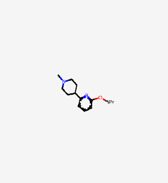 CC(C)Oc1cccc(C2CCN(C)CC2)n1